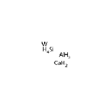 [AlH3].[CaH2].[SiH4].[W]